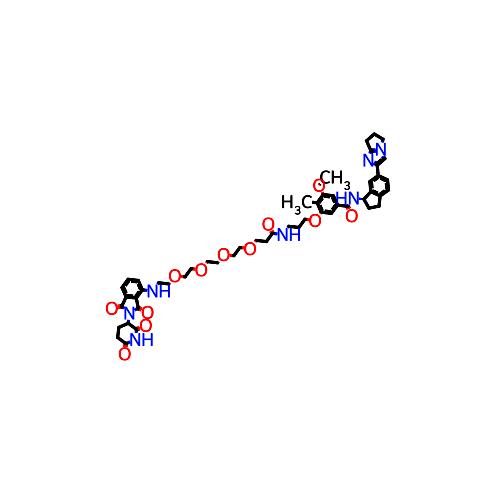 COc1cc(C(=O)N[C@@H]2CCc3ccc(-c4cn5c(n4)CCC5)cc32)cc(OCCCNC(=O)CCOCCOCCOCCOCCNc2cccc3c2C(=O)N(C2CCC(=O)NC2=O)C3=O)c1C